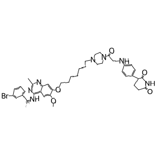 COc1cc2c(N[C@H](C)c3cccc(Br)c3)nc(C)nc2cc1OCCCCCCCN1CCN(C(=O)CNc2ccc(C3CCC(=O)NC3=O)cc2)CC1